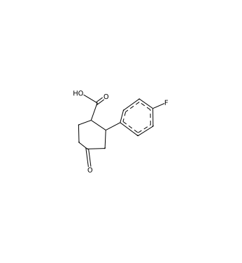 O=C1CCC(C(=O)O)C(c2ccc(F)cc2)C1